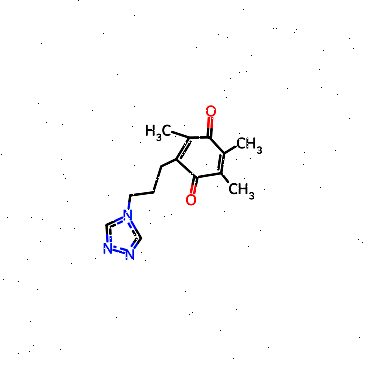 CC1=C(C)C(=O)C(CCCn2cnnc2)=C(C)C1=O